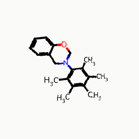 Cc1c(C)c(C)c(N2COc3ccccc3C2)c(C)c1C